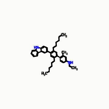 CCCCCCc1cc(-c2ccc(NCC)cc2C)c(CCCCCC)cc1-c1ccc2[nH]c3ccccc3c2c1